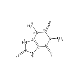 Cn1c(=O)c2[nH]c(=S)[nH]c2n(C)c1=O